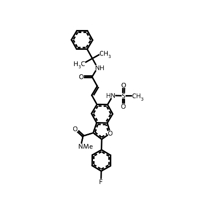 CNC(=O)c1c(-c2ccc(F)cc2)oc2cc(NS(C)(=O)=O)c(/C=C/C(=O)NC(C)(C)c3ccccc3)cc12